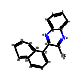 CCc1nc2ccccc2nc1-c1cccc2ccccc12